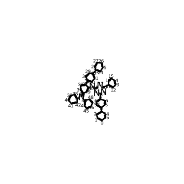 c1ccc(-c2ccc(-c3nc(-c4ccccc4)nc(-n4c5cc(-c6ccccc6)ccc5c5ccc(N(c6ccccc6)c6ccccc6)cc54)n3)cc2)cc1